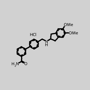 COc1cc2c(cc1OC)CC(NCc1ccc(-c3cccc(C(N)=O)c3)cc1)C2.Cl